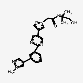 Cn1cc(-c2cccc(-c3ncc(-c4cnn(CC(=O)NC(C)(C)CO)c4)cn3)c2)cn1